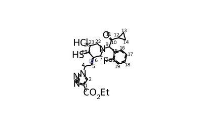 CCOC(=O)c1cn(C/C=C2/CN(C(C(=O)C3CC3)c3ccccc3F)CCC2S)nn1.Cl